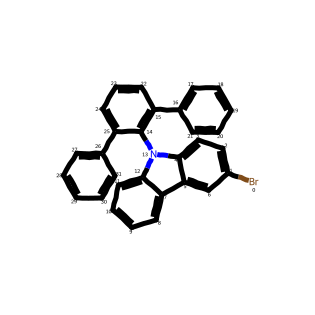 Brc1ccc2c(c1)c1ccccc1n2-c1c(-c2ccccc2)cccc1-c1ccccc1